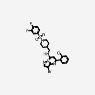 O=S(=O)(c1ccc(F)c(F)c1)N1CCC(CNc2cc(-c3ccccc3Cl)nc3c(Br)cnn23)CC1